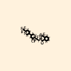 O=C(NCC(F)(F)c1ncc(-c2ccc(C(F)(F)F)nc2)cc1Cl)c1ccccc1C(F)(F)F